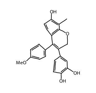 COc1ccc(C2=C(c3ccc(O)c(O)c3)COc3c2ccc(O)c3C)cc1